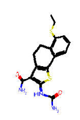 CCSc1cccc2c1CCc1c-2sc(NC(N)=O)c1C(N)=O